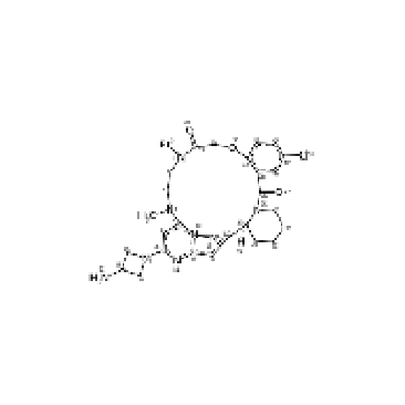 CCN1CCN(C)c2cc(N3CC(N)C3)nc3cc(nn23)[C@@H]2CCCCN2C(=O)c2cc(Cl)ccc2OCC1=O